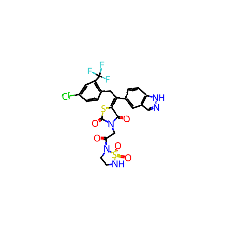 O=C1SC(=C(Cc2ccc(Cl)cc2C(F)(F)F)c2ccc3[nH]ncc3c2)C(=O)N1CC(=O)N1CCNS1(=O)=O